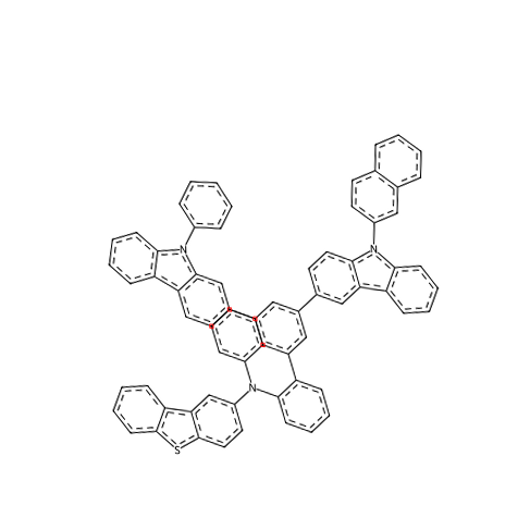 c1ccc(N(c2ccc3sc4ccccc4c3c2)c2ccccc2-c2cc(-c3ccc4c(c3)c3ccccc3n4-c3ccc4ccccc4c3)cc(-c3ccc4c5ccccc5n(-c5ccccc5)c4c3)c2)cc1